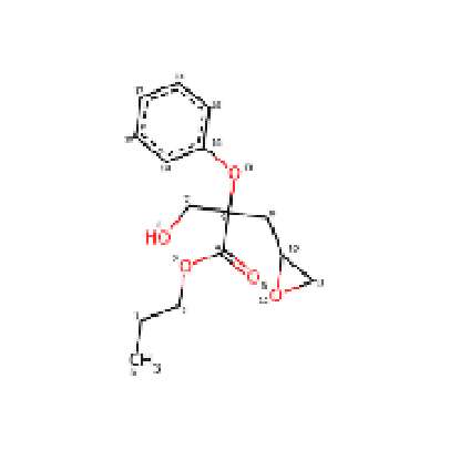 CCCOC(=O)C(CO)(CC1CO1)Oc1ccccc1